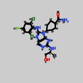 CC[C@H](CO)Nc1ncc2nc(Nc3c(Cl)cc(F)cc3Cl)n(C3CCC(C(N)=O)CC3)c2n1